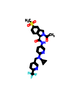 CC(=O)N1Cc2cc(S(C)(=O)=O)ccc2[C@@H]1C(=O)Nc1ccc(N(Cc2ccc(C(F)(F)F)nc2)C2CC2)nc1